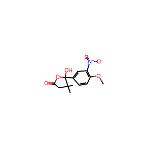 COc1ccc(C2(O)OC(=O)CC2(C)C)cc1[N+](=O)[O-]